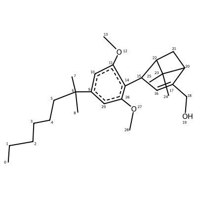 CCCCCCC(C)(C)c1cc(OC)c(C2C=C(CO)C3CC2C3(C)C)c(OC)c1